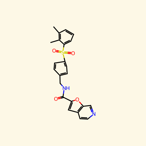 Cc1cccc(S(=O)(=O)c2ccc(CNC(=O)c3cc4ccncc4o3)cc2)c1C